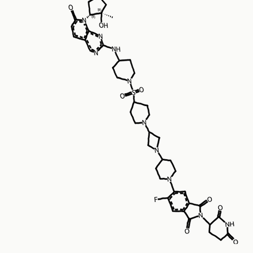 C[C@@]1(O)CCC[C@H]1n1c(=O)ccc2cnc(NC3CCN(S(=O)(=O)C4CCN(C5CN(C6CCN(c7cc8c(cc7F)C(=O)N(C7CCC(=O)NC7=O)C8=O)CC6)C5)CC4)CC3)nc21